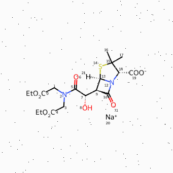 CCOC(=O)CN(CC(=O)OCC)C(=O)[C@@H](O)[C@@H]1C(=O)N2[C@@H]1SC(C)(C)[C@@H]2C(=O)[O-].[Na+]